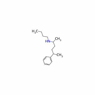 CCCCNC(C)CCC(C)c1ccccc1